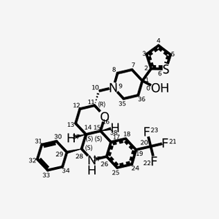 OC1(c2cccs2)CCN(C[C@H]2CC[C@@H]3[C@H](O2)c2cc(C(F)(F)F)ccc2N[C@H]3C2C=CC=CC2)CC1